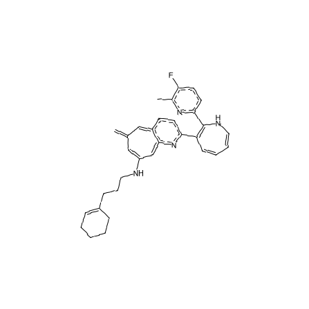 C=C1C=C(NCCCC2=CCCCC2)C=c2nc(C3=C(c4ccc(F)c(C)n4)NC=CC=C3)ccc2=C1